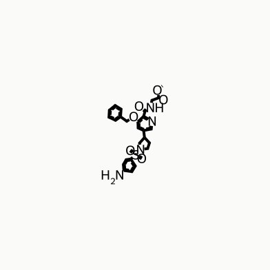 COC(=O)CNC(=O)c1ncc(C2CCN(S(=O)(=O)c3ccc(N)cc3)C2)cc1OCc1ccccc1